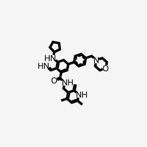 C=C1NC(C)=CC(C)=C1CNC(=O)C1=CC(c2ccc(CN3CCOCC3)cc2)CC(NC2CCCC2)=C1C=N